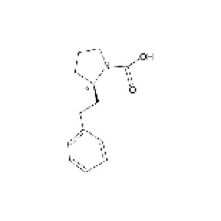 O=C(O)N1CCC[C@@H]1CCc1ccccc1